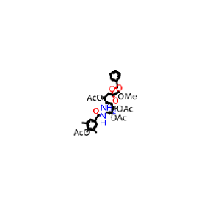 COC(=O)[C@@]1(OCc2ccccc2)C[C@H](OC(C)=O)[C@@H](N)[C@H]([C@H](OC(C)=O)[C@@H](CNC(=O)c2cc(C)c(OC(C)=O)c(C)c2)OC(C)=O)O1